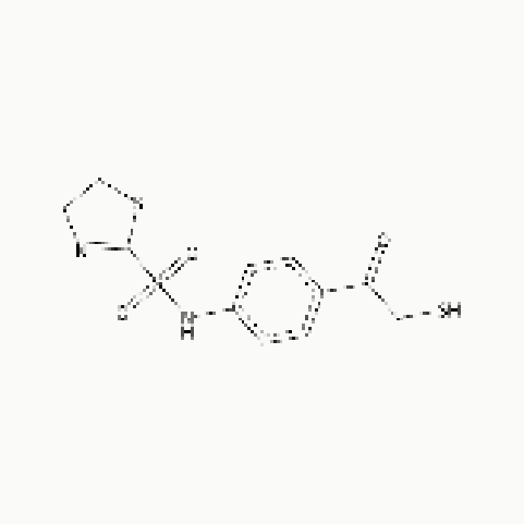 O=C(CS)c1ccc(NS(=O)(=O)C2=NCCS2)cc1